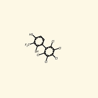 FC(F)(F)c1c(S)ccc(-c2c(Cl)c(Cl)c(Cl)c(Cl)c2Cl)c1S